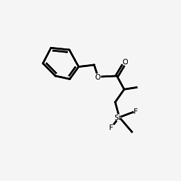 CC(C[Si](C)(F)F)C(=O)OCc1ccccc1